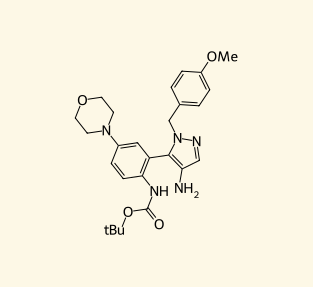 COc1ccc(Cn2ncc(N)c2-c2cc(N3CCOCC3)ccc2NC(=O)OC(C)(C)C)cc1